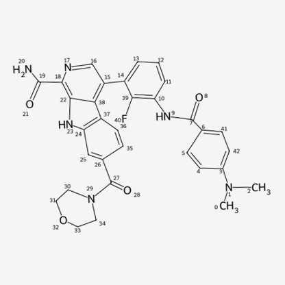 CN(C)c1ccc(C(=O)Nc2cccc(-c3cnc(C(N)=O)c4[nH]c5cc(C(=O)N6CCOCC6)ccc5c34)c2F)cc1